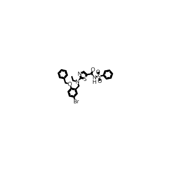 CCN(Cc1cc(Br)ccc1OCc1ccccc1)c1ncc(C(=O)NS(=O)(=O)c2ccccc2)s1